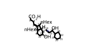 CCCCCCC1C(=CCCC(=O)O)[C@]2(CCCCCC)CC[C@H](O)[C@@H](/C=C/C(O)C3CCCCC3)[C@H]12